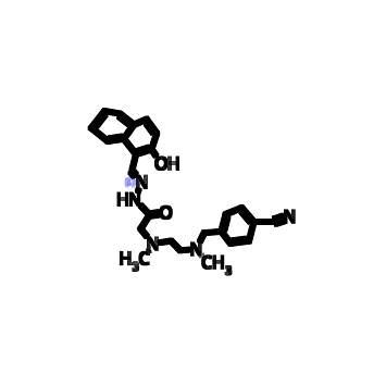 CN(CCN(C)Cc1ccc(C#N)cc1)CC(=O)N/N=C/c1c(O)ccc2ccccc12